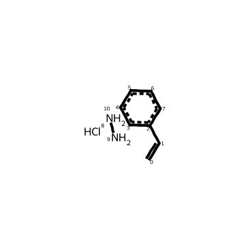 C=Cc1ccccc1.Cl.NN